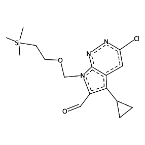 C[Si](C)(C)CCOCn1c(C=O)c(C2CC2)c2cc(Cl)nnc21